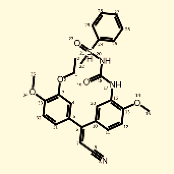 CCOc1cc(/C(=C/C#N)c2ccc(OC)c(NC(=O)N[SH](C)(=O)c3ccccc3)c2)ccc1OC